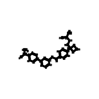 C[S+]([O-])c1ccc(-c2cccc(COc3ccc(C4(OCC(=O)O)COC4)cc3)c2)cc1